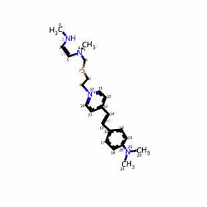 CN/C=C\N(C)CSCC[n+]1ccc(/C=C/c2ccc(N(C)C)cc2)cc1